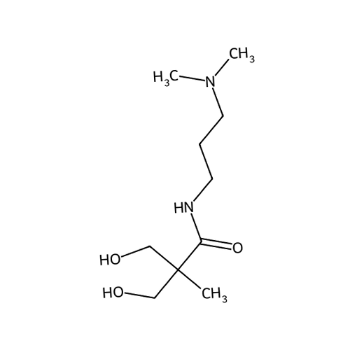 CN(C)CCCNC(=O)C(C)(CO)CO